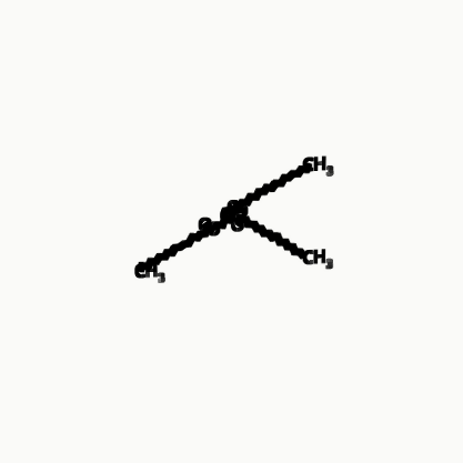 CCCCCCCCC=CCCCCCCCC(=O)OCCc1ccc(OC(=O)CCCCCCCC=CCCCCCCCC)c(OC(=O)CCCCCCCC=CCCCCCCCC)c1